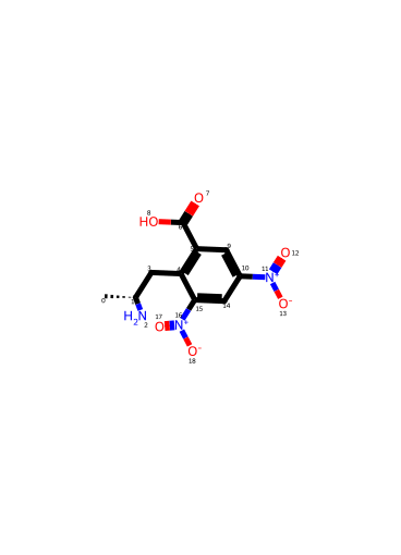 C[C@@H](N)Cc1c(C(=O)O)cc([N+](=O)[O-])cc1[N+](=O)[O-]